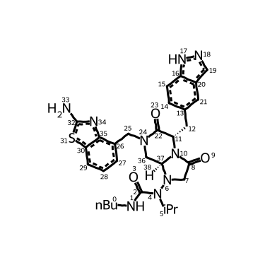 CCCCNC(=O)N(C(C)C)N1CC(=O)N2[C@@H](Cc3ccc4[nH]ncc4c3)C(=O)N(Cc3cccc4sc(N)nc34)C[C@@H]21